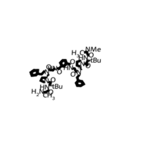 CN[C@@H](C)C(=O)N[C@H](C(=O)N1CCC[C@H]1CN(CCc1ccccc1)C(=O)CNC(=O)c1cccc(C(=O)NCC(=O)N(CCc2ccccc2)C[C@@H]2CCCN2C(=O)[C@@H](NC(=O)[C@H](C)N)C(C)(C)C)c1)C(C)(C)C